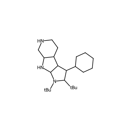 CC(C)(C)C1C(C2CCCCC2)C2C3CCNCC3NC2N1C(C)(C)C